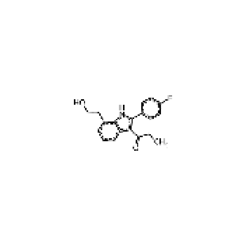 CCC(=O)c1c(-c2ccc(F)cc2)[nH]c2c(CCO)cccc12